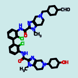 Cn1c(C(=O)Nc2cccc(-c3cccc(NC(=O)c4nc5c(n4C)CCN(C4CCC(O)CC4)C5)c3Cl)c2Cl)nc2c1CCN(CC1CCC(C=O)CC1)C2